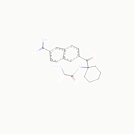 C[C@H](N)C(=O)NC1(C(=O)c2ccc3cc(C(=N)N)ccc3c2)CCCCC1